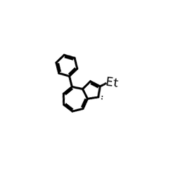 CCC1=CC2C(=CC=CC=C2c2ccccc2)[C]1